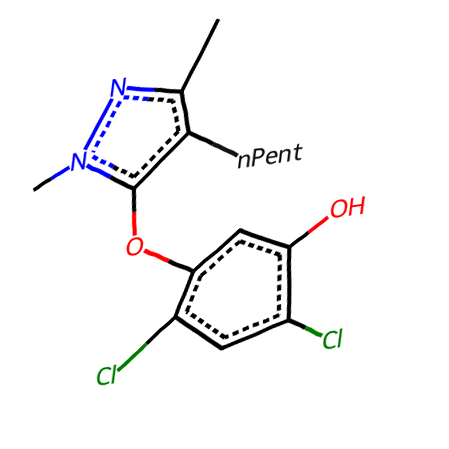 CCCCCc1c(C)nn(C)c1Oc1cc(O)c(Cl)cc1Cl